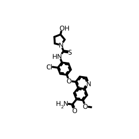 COc1cc2nccc(Oc3ccc(NC(=S)N4CCC(O)C4)c(Cl)c3)c2cc1C(N)=O